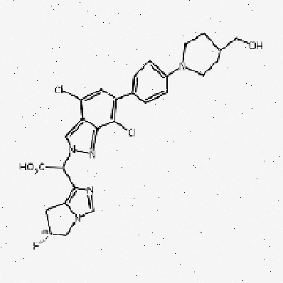 O=C(O)C(c1ncn2c1C[C@@H](F)C2)n1cc2c(Cl)cc(-c3ccc(N4CCC(CO)CC4)cc3)c(Cl)c2n1